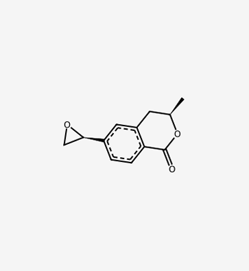 C[C@@H]1Cc2cc([C@H]3CO3)ccc2C(=O)O1